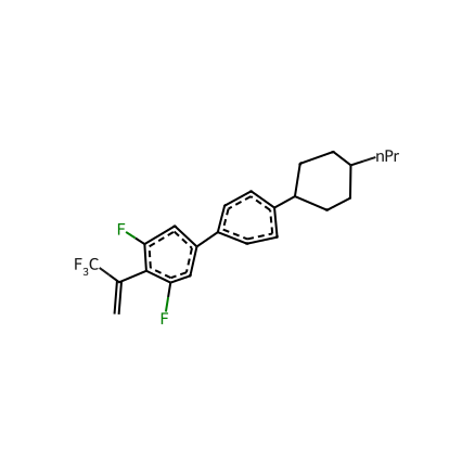 C=C(c1c(F)cc(-c2ccc(C3CCC(CCC)CC3)cc2)cc1F)C(F)(F)F